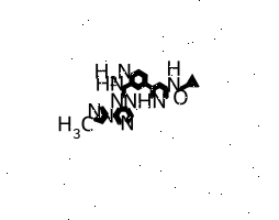 Cc1cn(-c2cncc3[nH]c(C(=N)c4cc(-c5cncc(NC(=O)C6CC6)c5)ccc4N)nc23)cn1